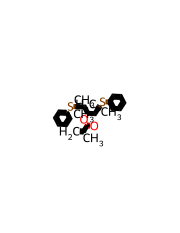 C=C(C)C(=O)OC(CC(C)(C)Sc1ccccc1)CC(C)(C)Sc1ccccc1